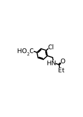 CCC(=O)NCc1ccc(C(=O)O)cc1Cl